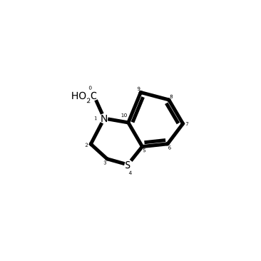 O=C(O)N1CCSc2ccccc21